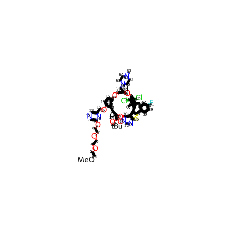 COCCOCCOCCOc1cncc(COc2ccc3cc2C[C@H](C(=O)OC(C)(C)C)Oc2ncnc4sc(-c5ccc(F)cc5)c(c24)-c2c(C)c(Cl)c(c(Cl)c2C)O[C@H](CN2CCN(C)CC2)CO3)n1